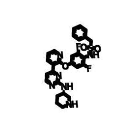 O=S(=O)(Cc1ccccc1)Nc1c(F)cc(Oc2ncccc2-c2ccnc(N[C@H]3CCCNC3)n2)cc1F